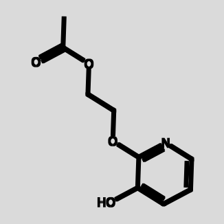 CC(=O)OCCOc1ncccc1O